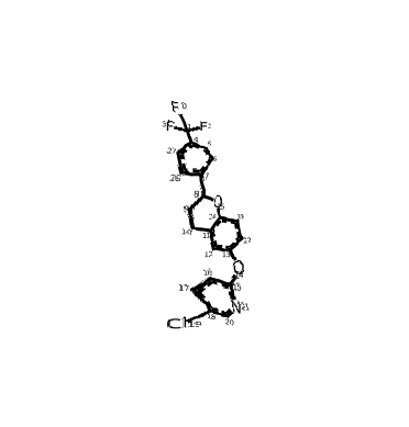 FC(F)(F)c1ccc(C2CCc3cc(Oc4ccc(Cl)cn4)ccc3O2)cc1